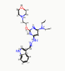 CCN(CC)c1cc(N/N=C/c2c[nH]c3ccccc23)nc(OCCN2CCOCC2)n1